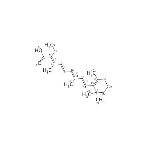 CC\C(C(=O)O)=C(C)/C=C/C=C(C)/C=C/C1=C(C)CCCC1(C)C